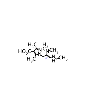 C=CN/C=C(/Cn1nc(C)c(C(=O)O)c1C)N(C)C